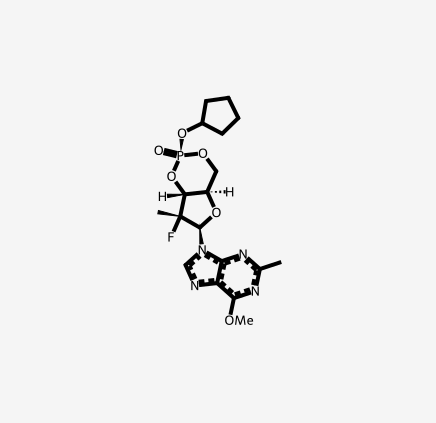 COc1nc(C)nc2c1ncn2[C@@H]1O[C@@H]2CO[P@](=O)(OC3CCCC3)O[C@H]2[C@@]1(C)F